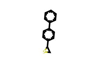 c1ccc(-c2ccc(C3CS3)cc2)cc1